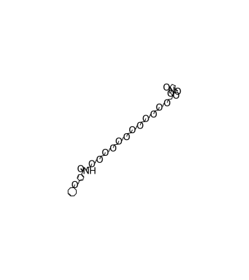 O=C(CCOCCOCCOCCOCCOCCOCCOCCOCCOCCOCCOCCOCCNC(=O)c1ccc(COC2CC/C=C\CCC2)cc1)ON1C(=O)CCC1=O